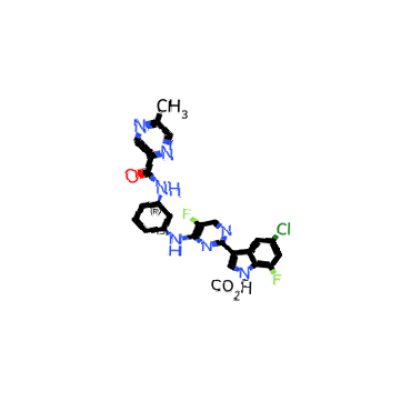 Cc1cnc(C(=O)N[C@@H]2CCC[C@H](Nc3nc(-c4cn(C(=O)O)c5c(F)cc(Cl)cc45)ncc3F)C2)cn1